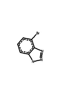 Brc1cccc2c1N=N[N]2